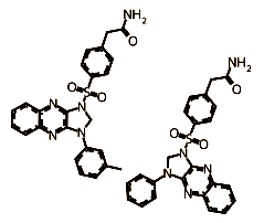 Cc1cccc(N2CN(S(=O)(=O)c3ccc(CC(N)=O)cc3)c3nc4ccccc4nc32)c1.NC(=O)Cc1ccc(S(=O)(=O)N2CN(c3ccccc3)c3nc4ccccc4nc32)cc1